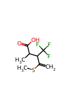 C=C(SC)C(C(C)C(=O)O)C(F)(F)F